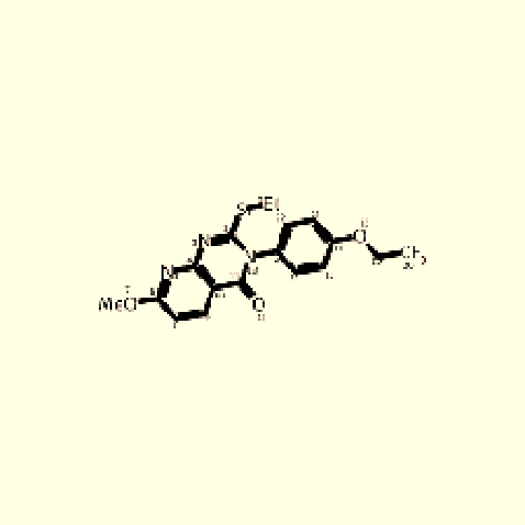 CCSc1nc2nc(OC)ccc2c(=O)n1-c1ccc(OCC(F)(F)F)cc1